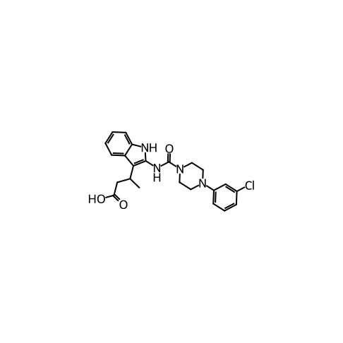 CC(CC(=O)O)c1c(NC(=O)N2CCN(c3cccc(Cl)c3)CC2)[nH]c2ccccc12